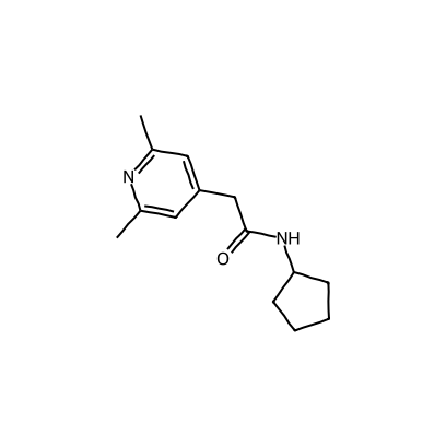 Cc1cc(CC(=O)NC2CCCC2)cc(C)n1